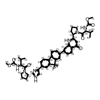 COC(=O)N[C@H](C(=O)N1CCCC1c1cc(=O)c2ccc(-c3ccc4c(c3)C(F)(F)c3cc(-c5c[nH]c([C@@H]6CCCN6C(=O)[C@@H](NC(=O)OC)C(C)C)n5)ccc3-4)cc2[nH]1)C(C)C